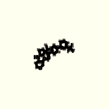 COC1COCC[C@H]1N[C@@H]1CC[C@@](C(=O)N2CC=C(c3cccc(C(F)(F)F)c3)CC2)(C(C)C)C1